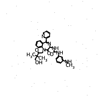 CNc1cccc(NC(=O)NC2N=C(c3ccccn3)c3ccccc3N(CC(=O)C(C)(C)CO)C2=O)c1